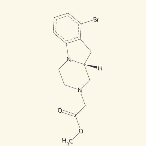 COC(=O)CN1CCN2c3cccc(Br)c3C[C@@H]2C1